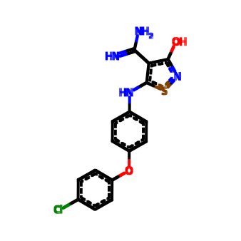 N=C(N)c1c(O)nsc1Nc1ccc(Oc2ccc(Cl)cc2)cc1